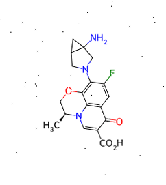 C[C@H]1COc2c(N3CC4CC4(N)C3)c(F)cc3c(=O)c(C(=O)O)cn1c23